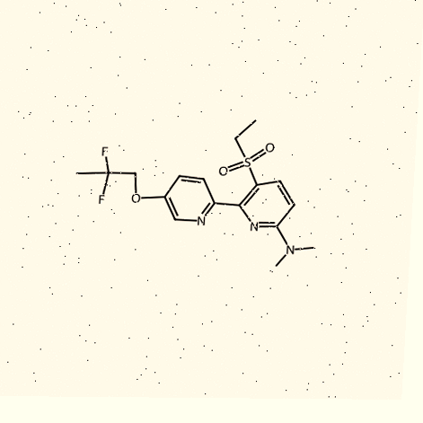 CCS(=O)(=O)c1ccc(N(C)C)nc1-c1ccc(OCC(C)(F)F)cn1